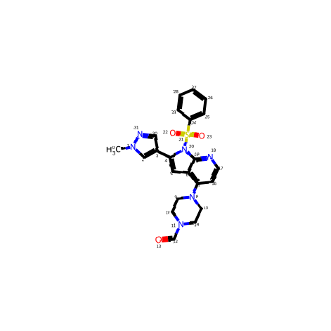 Cn1cc(-c2cc3c(N4CCN(C=O)CC4)ccnc3n2S(=O)(=O)c2ccccc2)cn1